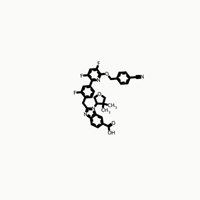 CC1(C)COCC1n1c(Cc2ccc(-c3nc(OCc4ccc(C#N)cc4)c(F)cc3F)cc2F)nc2ccc(C(=O)O)cc21